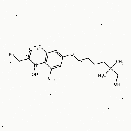 Cc1cc(OCCCCC(C)(C)CO)cc(C)c1N(O)C(=O)CC(C)(C)C